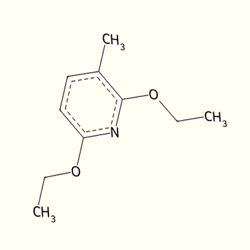 CCOc1ccc(C)c(OCC)n1